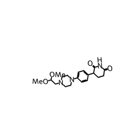 COC(CN1CCN(c2ccc(C3CCC(=O)NC3=O)cc2)CC1)OC